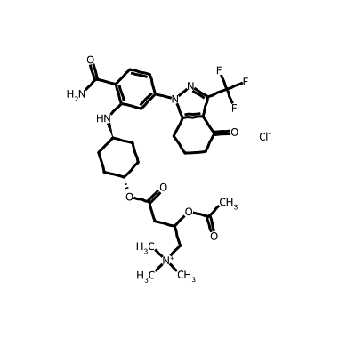 CC(=O)OC(CC(=O)O[C@H]1CC[C@H](Nc2cc(-n3nc(C(F)(F)F)c4c3CCCC4=O)ccc2C(N)=O)CC1)C[N+](C)(C)C.[Cl-]